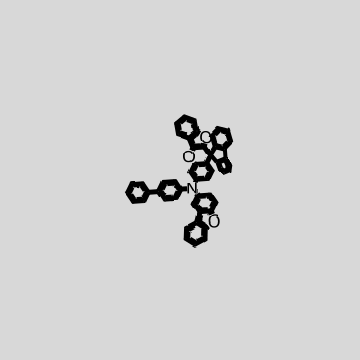 c1ccc(-c2ccc(N(c3ccc4c(c3)Oc3c(oc5ccccc35)C43c4ccccc4-c4ccccc43)c3ccc4oc5ccccc5c4c3)cc2)cc1